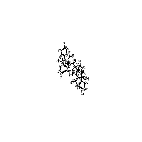 Cc1ccc(C(O)(c2ccc(C)cc2)[C@H](NC(=O)C(C)(C)C(=O)N[C@H](C(C)C)C(O)(c2ccc(C)cc2)c2ccc(C)cc2)C(C)C)cc1